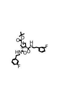 CC(C)(C)OC(=O)N1C[C@@H](C(=O)NCCc2cccc(F)c2)[C@H](C(=O)NCCc2cccc(F)c2)C1